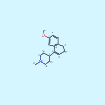 COc1ccc2c(c1)C(C1CCN(C)CC1)=CCC2